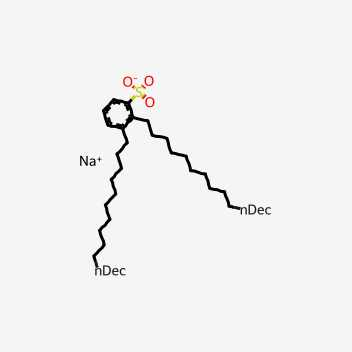 CCCCCCCCCCCCCCCCCCCCc1cccc(S(=O)(=O)[O-])c1CCCCCCCCCCCCCCCCCCCC.[Na+]